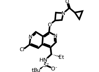 CC[C@H](N[S@@+]([O-])C(C)(C)C)c1cnc(OC2CN(C(=O)C3CC3)C2)c2cnc(Cl)cc12